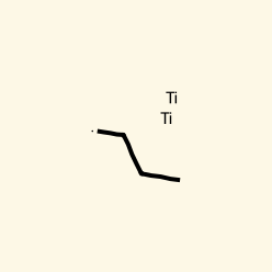 [CH2]CCC.[Ti].[Ti]